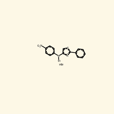 Br.CCN(c1ccc([N+](=O)[O-])cc1)c1csc(-c2ccccc2)n1